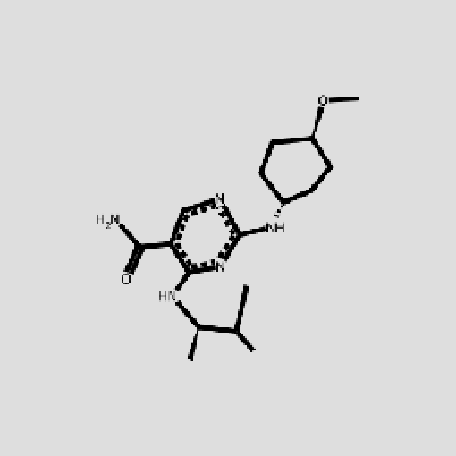 CO[C@H]1CC[C@H](Nc2ncc(C(N)=O)c(N[C@H](C)C(C)C)n2)CC1